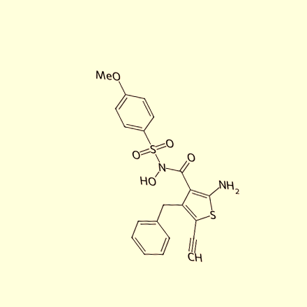 C#Cc1sc(N)c(C(=O)N(O)S(=O)(=O)c2ccc(OC)cc2)c1Cc1ccccc1